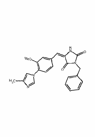 COc1cc(C=C2NC(=O)N(Cc3ccccc3)C2=O)ccc1-n1cnc(C)c1